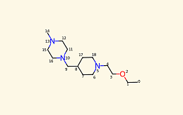 CCOCCN1CCC(CN2CCN(C)CC2)CC1